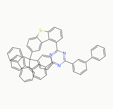 c1ccc(-c2cccc(-c3nc(-c4cccc(-c5ccccc5)c4)nc(-c4cccc5sc6ccc(C7(c8ccccc8)c8ccccc8-c8ccccc87)cc6c45)n3)c2)cc1